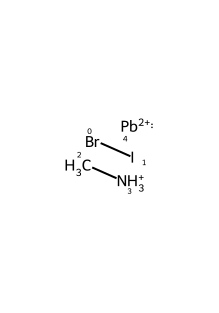 BrI.C[NH3+].[Pb+2]